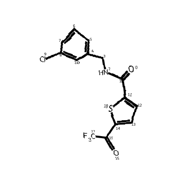 O=C(NCc1cccc(Cl)c1)c1ccc(C(=O)C(F)(F)F)s1